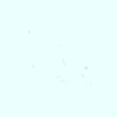 C/C(=C/C(=C=O)c1cc(F)ccc1F)Nc1cnn(C)c1C(=O)O